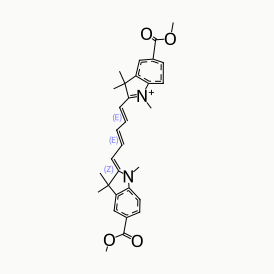 COC(=O)c1ccc2c(c1)C(C)(C)C(/C=C/C=C/C=C1\N(C)c3ccc(C(=O)OC)cc3C1(C)C)=[N+]2C